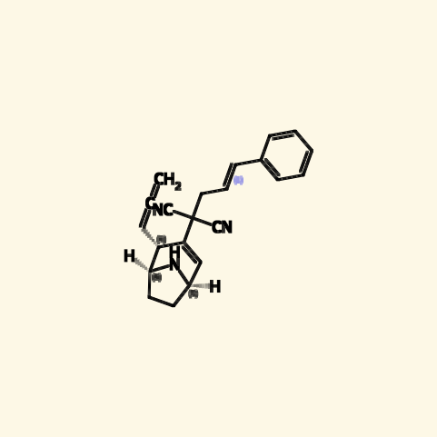 C=C=C[C@@H]1C(C(C#N)(C#N)C/C=C/c2ccccc2)=C[C@H]2CC[C@@H]1N2